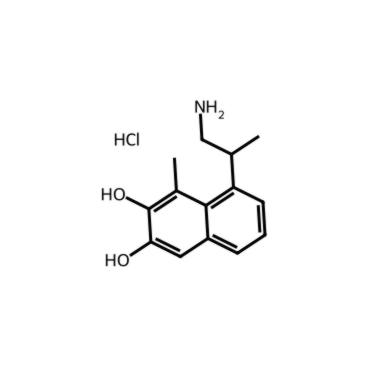 Cc1c(O)c(O)cc2cccc(C(C)CN)c12.Cl